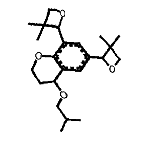 CC(C)COC1CCOc2c1cc(C1OCC1(C)C)cc2C1OCC1(C)C